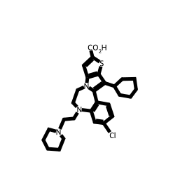 O=C(O)c1cc2c(s1)c(C1CCCCC1)c1n2CCN(CCN2CCCCC2)c2cc(Cl)ccc2-1